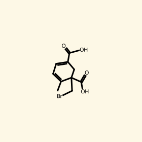 CC1=CC=C(C(=O)O)CC1(CBr)C(=O)O